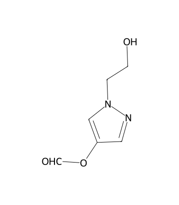 O=COc1cnn(CCO)c1